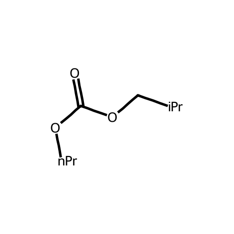 CCCOC(=O)OCC(C)C